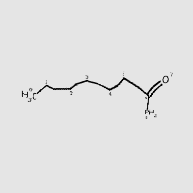 CCCCCCC(=O)P